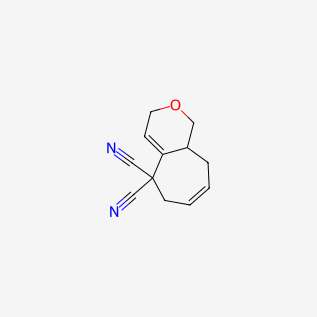 N#CC1(C#N)CC=CCC2COCC=C21